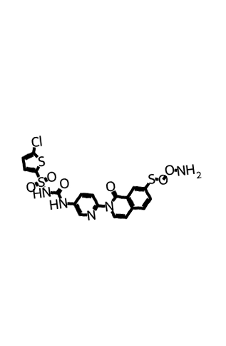 NOOSc1ccc2ccn(-c3ccc(NC(=O)NS(=O)(=O)c4ccc(Cl)s4)cn3)c(=O)c2c1